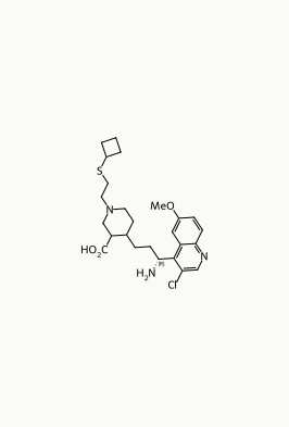 COc1ccc2ncc(Cl)c([C@H](N)CCC3CCN(CCSC4CCC4)CC3C(=O)O)c2c1